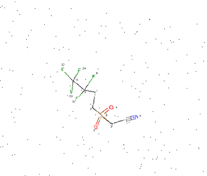 N#CCS(=O)(=O)CCC(F)(F)C(F)(F)F